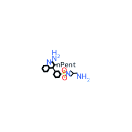 CCCCCc1c(N)nc2ccccc2c1-c1cccc(S(=O)(=O)N2CC(CN)C2)c1